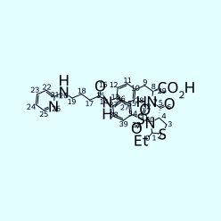 CCC1SC[C@@H](C(=O)N[C@@H](Cc2ccc(NC(=O)CCCNc3ccccn3)cc2)C(=O)O)N1S(=O)(=O)c1ccccc1